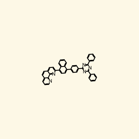 c1ccc(-c2nc(-c3ccccc3)nc(-c3ccc(-c4ccc(-c5ccc6ccc7cccnc7c6n5)c5ccccc45)cc3)n2)cc1